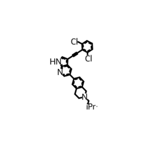 C[C](C)CN1CCc2cc(-c3cnc4[nH]cc(C#Cc5c(Cl)cccc5Cl)c4c3)ccc2C1